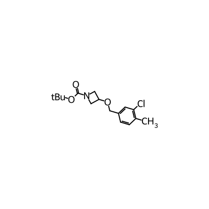 Cc1ccc(COC2CN(C(=O)OC(C)(C)C)C2)cc1Cl